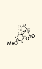 COc1ccc2c(c1)OC(=O)CC21CCCC1